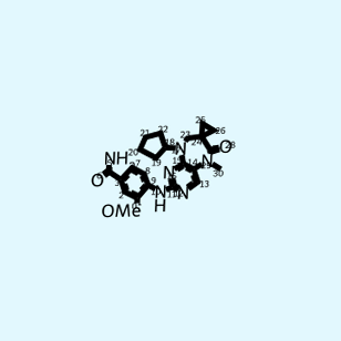 COc1cc(C(N)=O)ccc1Nc1ncc2c(n1)N(C1CCCC1)CC1(CC1)C(=O)N2C